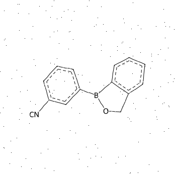 [C-]#[N+]c1cccc(B2OCc3ccccc32)c1